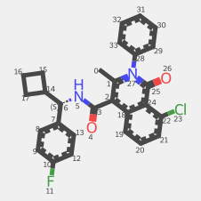 Cc1c(C(=O)N[C@H](c2ccc(F)cc2)C2CCC2)c2cccc(Cl)c2c(=O)n1-c1ccccc1